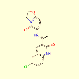 C[C@H](Nc1ccc2n(c1=O)CCO2)c1cc2cc(Cl)ccc2[nH]c1=O